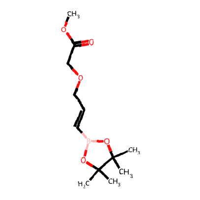 COC(=O)COC/C=C/B1OC(C)(C)C(C)(C)O1